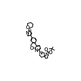 CC(C)(C)OC(=O)N1CCC12CCN(c1ccc3c(n1)OCc1cc(-c4cnn(C5CCCCO5)c4)ccc1-3)C2